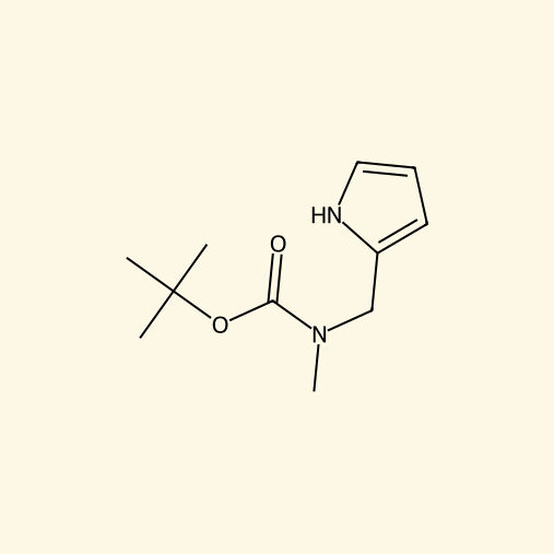 CN(Cc1ccc[nH]1)C(=O)OC(C)(C)C